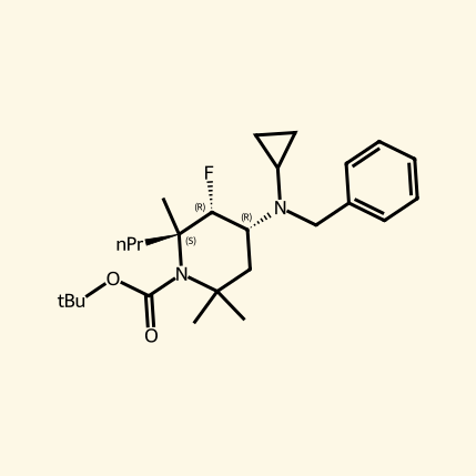 CCC[C@@]1(C)[C@H](F)[C@H](N(Cc2ccccc2)C2CC2)CC(C)(C)N1C(=O)OC(C)(C)C